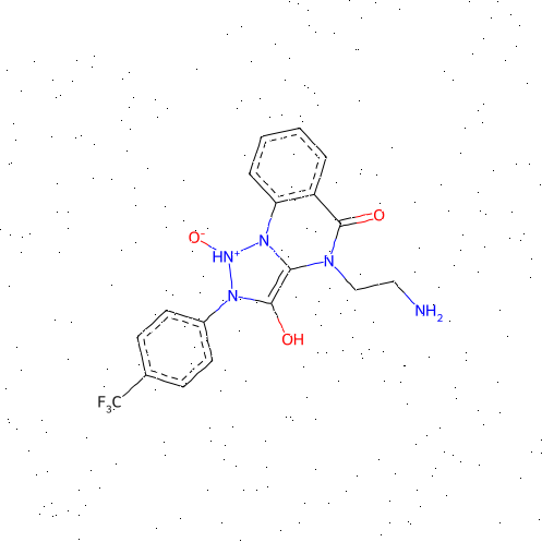 NCCN1C(=O)c2ccccc2N2C1=C(O)N(c1ccc(C(F)(F)F)cc1)[NH+]2[O-]